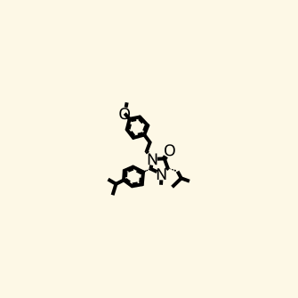 COc1ccc(CCN2C(=O)[C@H](CC(C)C)N(C)[C@@H]2c2ccc(C(C)C)cc2)cc1